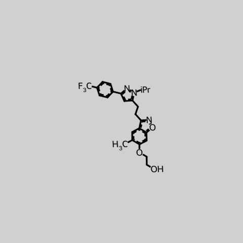 Cc1cc2c(CCc3cc(-c4ccc(C(F)(F)F)cc4)nn3C(C)C)noc2cc1OCCO